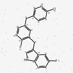 Fc1cnc2[nH]cc(Cc3cc(Cc4ccc(Cl)nc4)[c]nc3F)c2c1